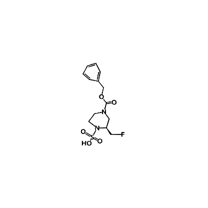 O=C(OCc1ccccc1)N1CCN(S(=O)(=O)O)[C@H](CF)C1